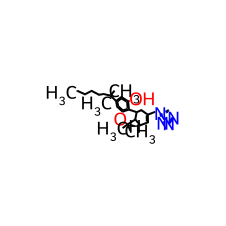 CCCCCCC(C)(C)c1cc(O)c2c(c1)OC(C)(C)[C@H]1CC=C(Cn3cnnn3)CC21